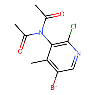 CC(=O)N(C(C)=O)c1c(Cl)ncc(Br)c1C